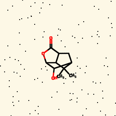 CC1(C)C2CC3C(=O)OC(C2O)C31